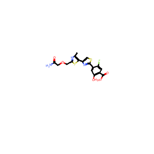 Cc1nc(COCC(N)=O)sc1-c1csc(-c2cc(O)c(C(=O)O)cc2F)n1